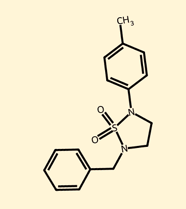 Cc1ccc(N2CCN(Cc3ccccc3)S2(=O)=O)cc1